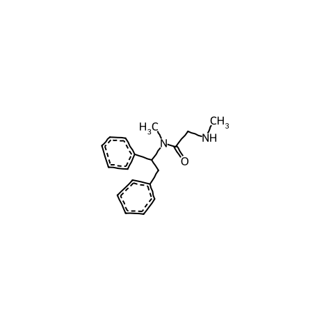 CNCC(=O)N(C)C(Cc1ccccc1)c1ccccc1